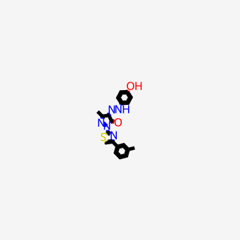 CC1=NN(c2nc(-c3cccc(C)c3)cs2)C(=O)C1=NNc1ccc(O)cc1